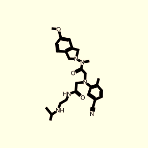 COc1ccc2c(c1)CN(N(C)C(=O)CN(CC(=O)NCCNC(C)C)c1cc(C#N)ccc1C)C2